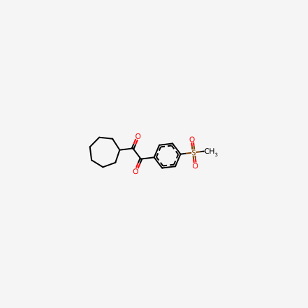 CS(=O)(=O)c1ccc(C(=O)C(=O)C2CCCCCC2)cc1